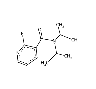 CC(C)N(C(=O)c1cccnc1F)C(C)C